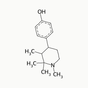 CC1C(c2ccc(O)cc2)CCN(C)C1(C)C